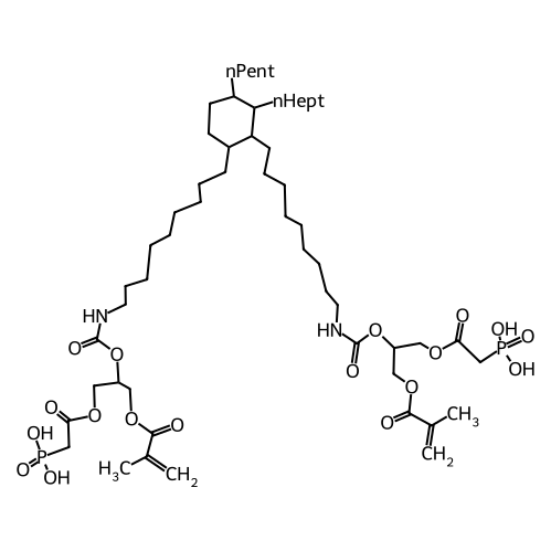 C=C(C)C(=O)OCC(COC(=O)CP(=O)(O)O)OC(=O)NCCCCCCCCCC1CCC(CCCCC)C(CCCCCCC)C1CCCCCCCCCNC(=O)OC(COC(=O)CP(=O)(O)O)COC(=O)C(=C)C